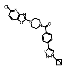 O=C(c1ccc(-c2cn(C34CC(C3)C4)nn2)cc1)N1CCN(c2nc3nc(Cl)ccc3o2)CC1